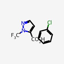 Clc1ccccc1.O=C(O)c1ccnn1C(F)(F)F